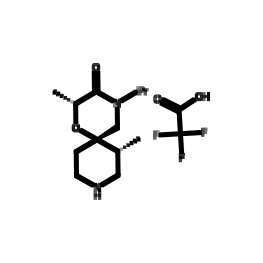 CC(C)N1C[C@@]2(CCNC[C@H]2C)O[C@H](C)C1=O.O=C(O)C(F)(F)F